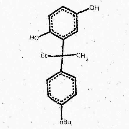 CCCCc1ccc(C(C)(CC)c2cc(O)ccc2O)cc1